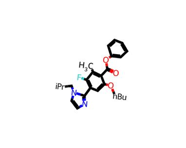 CCCCOc1cc(-c2nccn2CC(C)C)c(F)c(C)c1C(=O)Oc1ccccc1